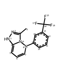 CC1=NNC2=CC=CN(c3cccc(C(F)(F)F)c3)N21